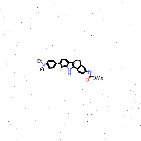 CCN(CC)c1ccc(-c2ccc3c4c([nH]c3c2F)-c2ccc(NC(=O)OC)cc2CC4)cc1